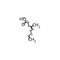 C=CCCC=C(C)CCC(=O)O